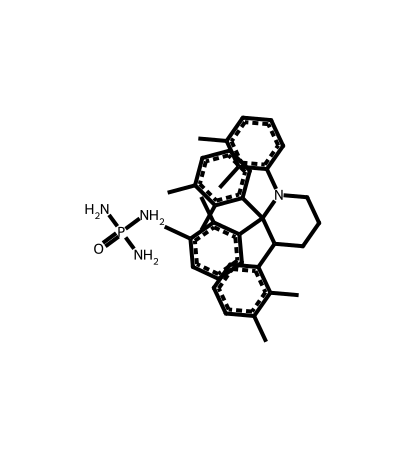 Cc1cccc(C2CCCN(c3cccc(C)c3C)C2(c2cccc(C)c2C)c2cccc(C)c2C)c1C.NP(N)(N)=O